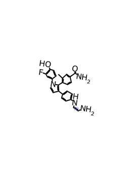 Cc1cc(C(N)=O)ccc1-c1c(-c2ccc(N/C=C\N)cc2)ccn1-c1ccc(O)c(F)c1